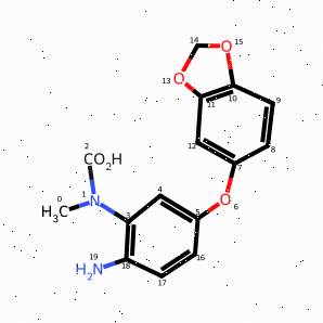 CN(C(=O)O)c1cc(Oc2ccc3c(c2)OCO3)ccc1N